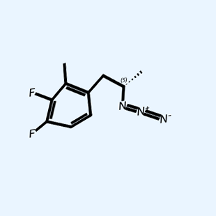 Cc1c(C[C@H](C)N=[N+]=[N-])ccc(F)c1F